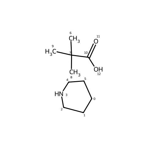 C1CCNCC1.CC(C)(C)C(=O)O